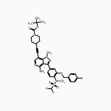 C[C@H](Oc1cc(-c2nn(C)c3c(C#CC4CCN(C(=O)OC(C)(C)C)CC4)cnc(N)c23)ccc1NS(=O)(=O)C(F)F)c1ccc(F)cc1